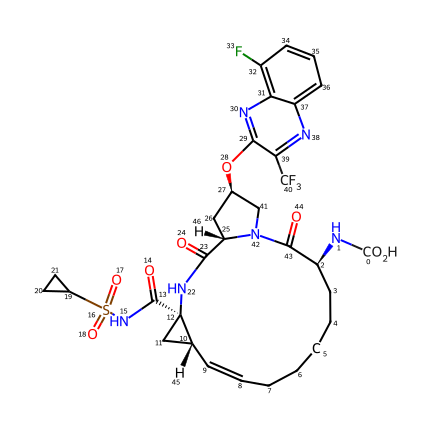 O=C(O)N[C@H]1CCCCCC=C[C@@H]2C[C@@]2(C(=O)NS(=O)(=O)C2CC2)NC(=O)[C@@H]2C[C@@H](Oc3nc4c(F)cccc4nc3C(F)(F)F)CN2C1=O